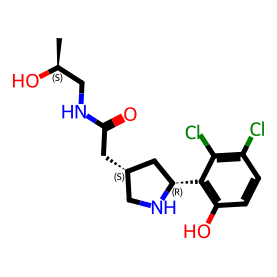 C[C@H](O)CNC(=O)C[C@H]1CN[C@@H](c2c(O)ccc(Cl)c2Cl)C1